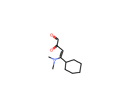 CN(C)C(=CC(=O)C=O)C1CCCCC1